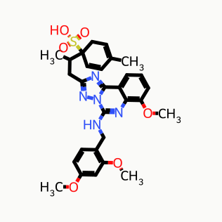 COc1ccc(CNc2nc3c(OC)cccc3c3nc(CC(C)C4(S(=O)(=O)O)C=CC(C)=CC4)nn23)c(OC)c1